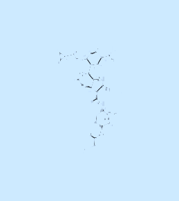 CCC(=O)N[C@H]1CC[C@@H](NC(=O)c2c(C)[nH]c3c(-c4cc(C(F)F)ccc4OCC4CC4)ncnc23)[C@H](F)C1